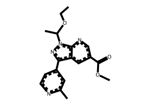 CCOC(C)n1nc(-c2ccnc(C)c2)c2cc(C(=O)OC)cnc21